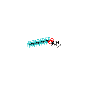 C=C(C)C(=O)OC(F)C(F)(F)C(F)(F)C(F)(F)C(F)(F)C(F)(F)C(F)(F)C(F)(F)C(F)(F)C(F)(F)C(F)(F)C(F)(F)F